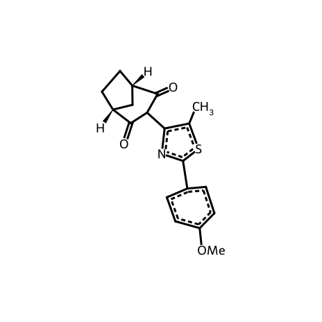 COc1ccc(-c2nc(C3C(=O)[C@@H]4CC[C@@H](C4)C3=O)c(C)s2)cc1